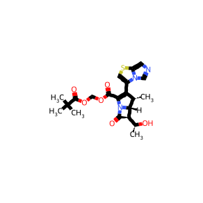 C[C@@H](O)[C@H]1C(=O)N2C(C(=O)OCOC(=O)C(C)(C)C)=C(c3csc4cncn34)[C@H](C)[C@H]12